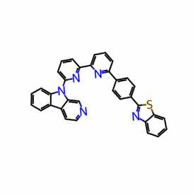 c1cc(-c2ccc(-c3nc4ccccc4s3)cc2)nc(-c2cccc(-n3c4ccccc4c4ccncc43)n2)c1